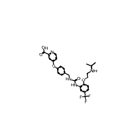 CC(C)NCCOc1ccc(C(F)(F)F)cc1NC(=O)NCc1ccc(Oc2ccnc(C(=O)O)c2)cc1